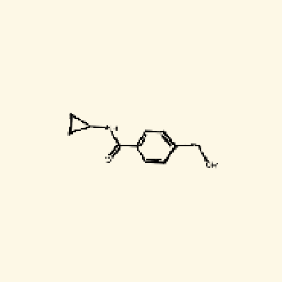 O=C(NC1CC1)c1ccc(CO)cc1